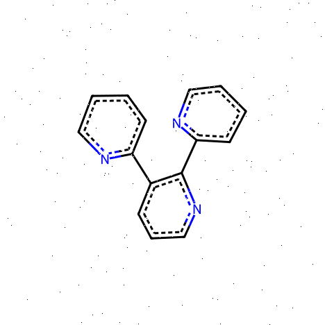 c1ccc(-c2cccnc2-c2ccccn2)nc1